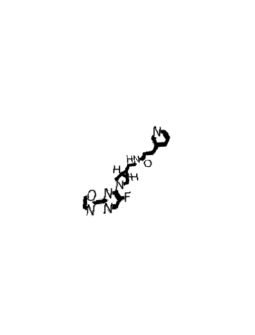 O=C(/C=C/c1cccnc1)NCCC1[C@H]2CN(c3nc(-c4ncco4)ncc3F)C[C@@H]12